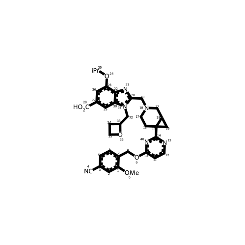 COc1cc(C#N)ccc1COc1ccnc(C23CCN(Cc4nc5c(OC(C)C)cc(C(=O)O)cc5n4CC4CCO4)CC2C3)n1